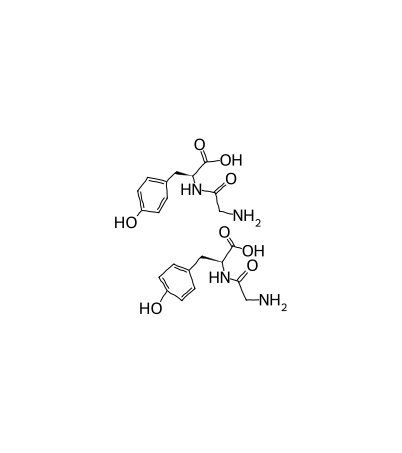 NCC(=O)N[C@@H](Cc1ccc(O)cc1)C(=O)O.NCC(=O)N[C@@H](Cc1ccc(O)cc1)C(=O)O